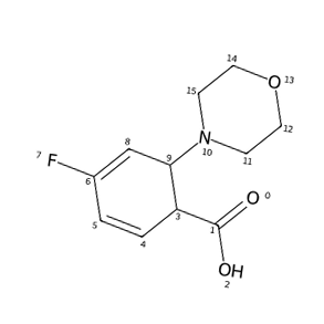 O=C(O)C1C=CC(F)=CC1N1CCOCC1